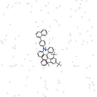 CC(C)(C)c1cc(C(C)(C)C)c2c(c1)C(C)(C)c1cccc(-c3ccccc3N(c3ccc(-c4cccc5ccccc45)cc3)c3cccc(-c4ccccc4)c3)c1-2